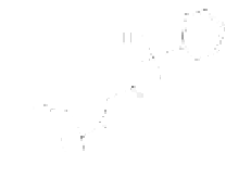 CC(C)(OC(=O)CNC1(C[N+](=O)[O-])COC1)c1ccccc1